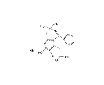 Br.CC1(C)Cc2cc(O)c3c(c2C(c2ccccc2)=N1)CC(C)(C)O3